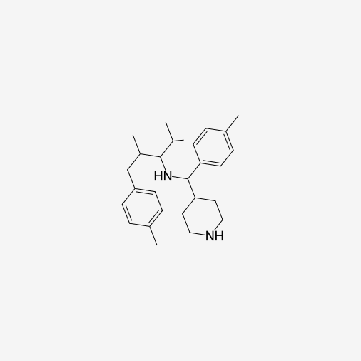 Cc1ccc(CC(C)C(NC(c2ccc(C)cc2)C2CCNCC2)C(C)C)cc1